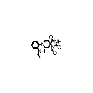 CCNc1ccccc1N1CCC2(CC1)C(=O)NC(=O)N2C=O